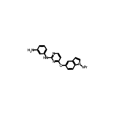 CCCn1ccc2cc(Oc3ccnc(Nc4cccc(N)c4)n3)ccc21